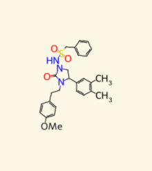 COc1ccc(CCN2C(=O)N(NS(=O)(=O)Cc3ccccc3)CC2c2ccc(C)c(C)c2)cc1